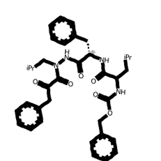 CC(C)CC(NC(=O)OCc1ccccc1)C(=O)N[C@@H](Cc1ccccc1)C(=O)NN(CC(C)C)C(=O)C(=O)Cc1ccccc1